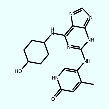 Cc1cc(=O)[nH]cc1Nc1nc(NC2CCC(O)CC2)c2ncnc-2[nH]1